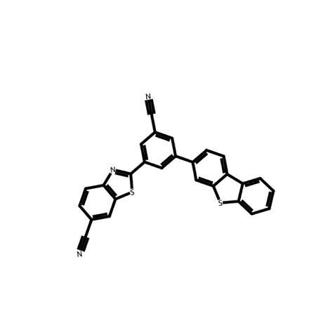 N#Cc1cc(-c2ccc3c(c2)sc2ccccc23)cc(-c2nc3ccc(C#N)cc3s2)c1